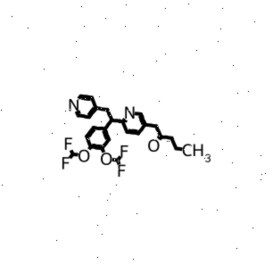 CCCC(=O)Cc1ccc(C(Cc2ccncc2)c2ccc(OC(F)F)c(OC(F)F)c2)nc1